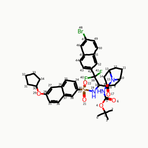 CC(C)(C)OC(=O)NC1CC2CCC(C1)N2C(=O)C(NS(=O)(=O)c1ccc2cc(OC3CCCC3)ccc2c1)C(F)(F)c1ccc2cc(Br)ccc2c1